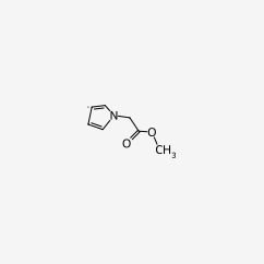 COC(=O)Cn1c[c]cc1